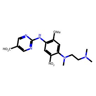 COc1cc(N(C)CCN(C)C)c([N+](=O)[O-])cc1Nc1ncc(C(=O)O)cn1